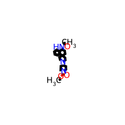 CCOC(=O)N1CCC(N2CCC3(CC[C@H](NC(C)=O)c4ccccc43)CC2)CC1